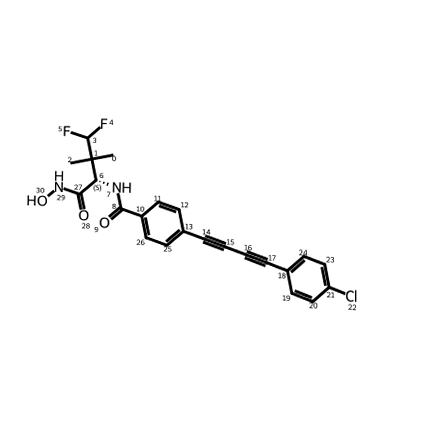 CC(C)(C(F)F)[C@H](NC(=O)c1ccc(C#CC#Cc2ccc(Cl)cc2)cc1)C(=O)NO